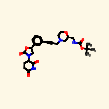 CC(C)(C)OC(=O)NC[C@H]1CN(CC#Cc2cccc([C@H]3CN(C4CCC(=O)NC4=O)C(=O)O3)c2)CCO1